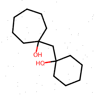 OC1(CC2(O)CCCCC2)CCCCCC1